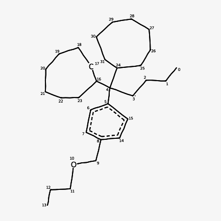 CCC[CH]C(c1ccc(COCCC)cc1)(C1CCCCCCC1)C1CCCCCCC1